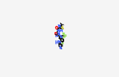 CC(C)c1nc(C(=O)NCc2nc(-c3cc4c(N[C@@H]5CCN(C)C[C@@H]5F)cccc4n3CC(F)(F)F)no2)cs1